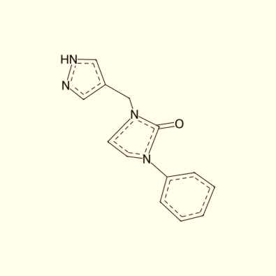 O=c1n(Cc2cn[nH]c2)ccn1-c1ccccc1